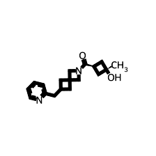 C[C@]1(O)C[C@@H](C(=O)N2CC3(CC(Cc4ccccn4)C3)C2)C1